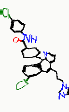 O=C(Nc1ccc(Cl)cc1)C1CCC(C2c3ccc(Cl)cc3C=C(CCCn3ccnc3)c3cccnc32)CC1